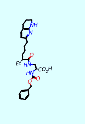 CCC(CCCCc1ccc2c(n1)NCCC2)C(=O)NC[C@H](NC(=O)OCc1ccccc1)C(=O)O